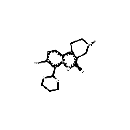 O=c1oc2c(C3OCCCO3)c(O)ccc2c2c1C[SH](F)CC2